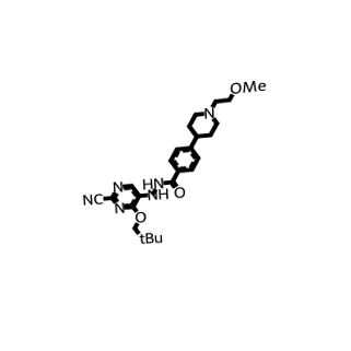 COCCN1CCC(c2ccc(C(=O)NNc3cnc(C#N)nc3OCC(C)(C)C)cc2)CC1